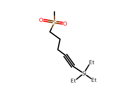 CC[Si](C#CCCCS(C)(=O)=O)(CC)CC